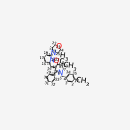 Cc1ccc(CN2CC(C)(C)C(=O)C(=Cc3cccc(N4CCOCC4)n3)C2c2ccccc2)cc1